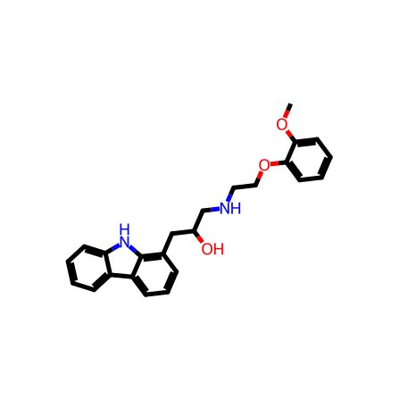 COc1ccccc1OCCNCC(O)Cc1cccc2c1[nH]c1ccccc12